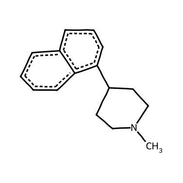 CN1CCC(c2cccc3ccccc23)CC1